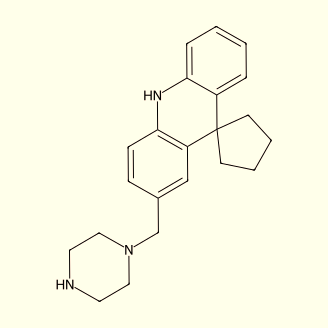 c1ccc2c(c1)Nc1ccc(CN3CCNCC3)cc1C21CCCC1